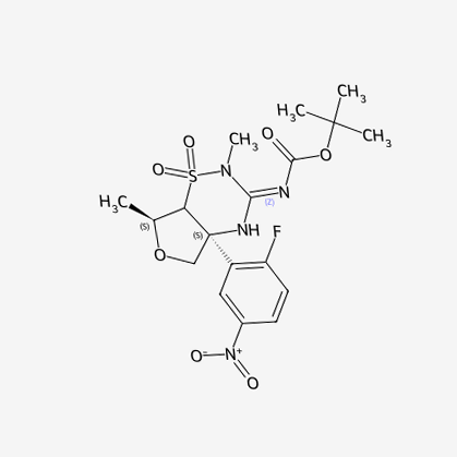 C[C@@H]1OC[C@]2(c3cc([N+](=O)[O-])ccc3F)N/C(=N/C(=O)OC(C)(C)C)N(C)S(=O)(=O)C12